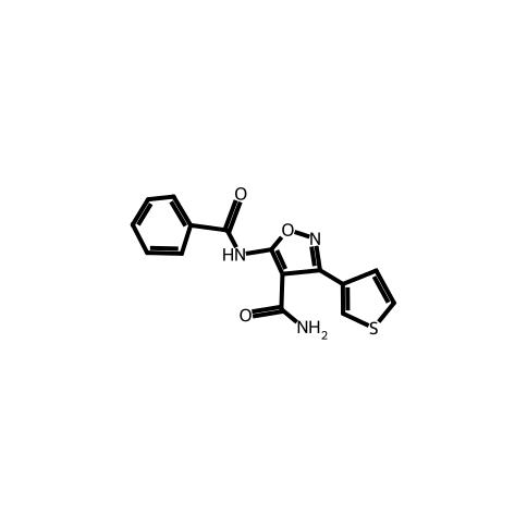 NC(=O)c1c(-c2ccsc2)noc1NC(=O)c1ccccc1